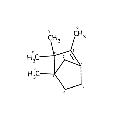 CC1=C2CCC(C)(C2)C1(C)C